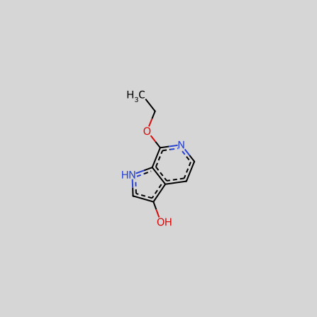 CCOc1nccc2c(O)c[nH]c12